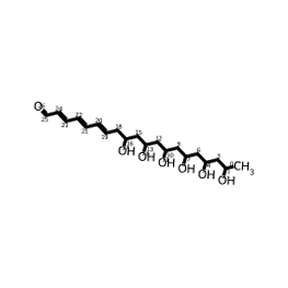 CC(O)CC(O)CC(O)CC(O)CC(O)CC(O)CC=CC=CC=CC=O